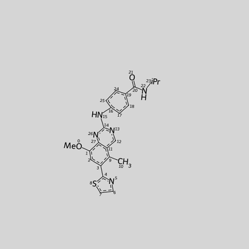 COc1cc(-c2nccs2)c(C)c2cnc(Nc3ccc(C(=O)NC(C)C)cc3)nc12